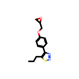 CCCc1snnc1-c1ccc(OCC2CO2)cc1